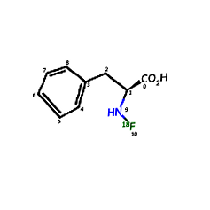 O=C(O)[C@H](Cc1ccccc1)N[18F]